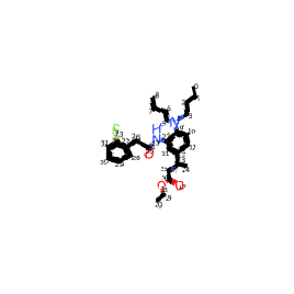 CCCCN(CCCC)c1ccc(/C(C)=C/C(=O)OCC)cc1NC(=O)Cc1ccccc1F